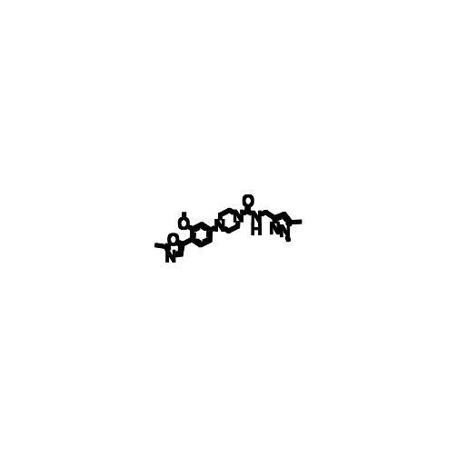 COc1cc(N2CCN(C(=O)NCc3cc(C)n(C)n3)CC2)ccc1-c1cnc(C)o1